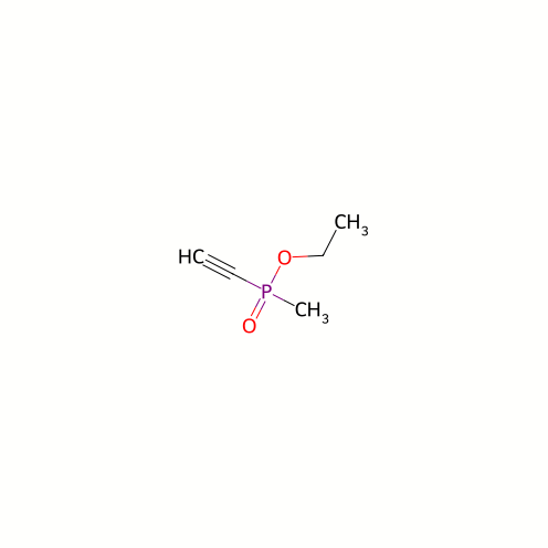 C#CP(C)(=O)OCC